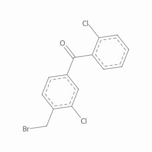 O=C(c1ccc(CBr)c(Cl)c1)c1ccccc1Cl